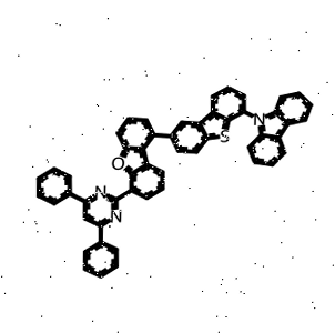 c1ccc(-c2cc(-c3ccccc3)nc(-c3cccc4c3oc3cccc(-c5ccc6sc7c(-n8c9ccccc9c9ccccc98)cccc7c6c5)c34)n2)cc1